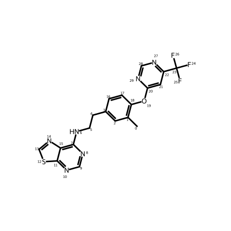 Cc1cc(CCNc2ncnc3scnc23)ccc1Oc1cc(C(F)(F)F)ncn1